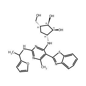 Cc1nc(NC(C)c2ccco2)nc(N[C@@H]2C[C@H](CO)[C@@H](O)[C@H]2O)c1-c1nc2ccccc2s1